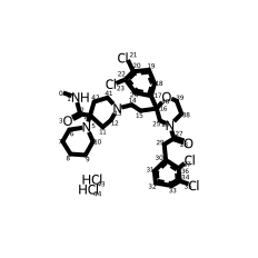 CNC(=O)C1(N2CCCCC2)CCN(CCC2(c3ccc(Cl)c(Cl)c3)CN(C(=O)Cc3cccc(Cl)c3Cl)CCO2)CC1.Cl.Cl